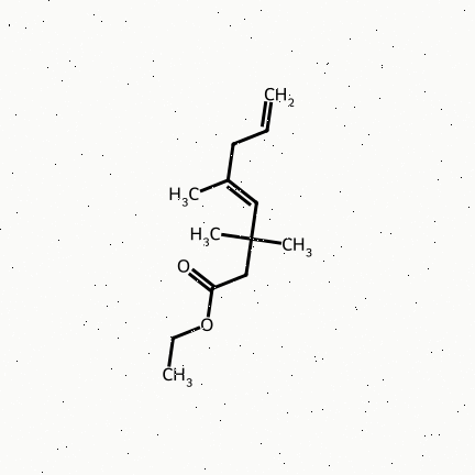 C=CCC(C)=CC(C)(C)CC(=O)OCC